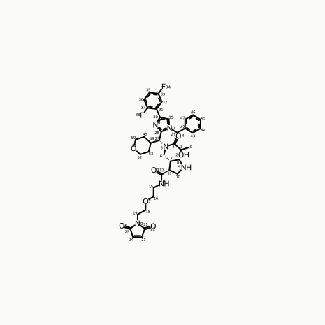 CC(O)C(=O)N(C[C@@H]1CNC[C@H]1C(=O)NCCOCCN1C(=O)C=CC1=O)[C@@H](c1nc(-c2cc(F)ccc2F)cn1Cc1ccccc1)C1CCOCC1